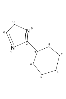 C1=NC(C2CCCCC2)=NC1